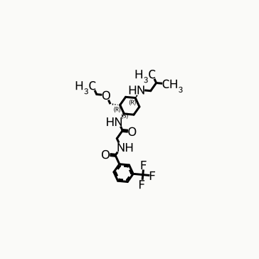 CCOC[C@@H]1C[C@H](NCC(C)C)CC[C@@H]1NC(=O)CNC(=O)c1cccc(C(F)(F)F)c1